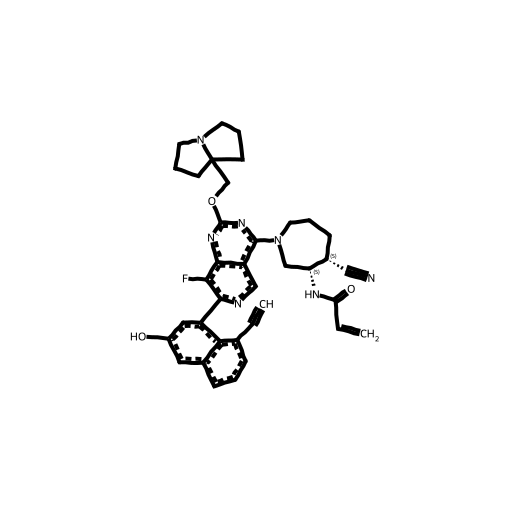 C#Cc1cccc2cc(O)cc(-c3ncc4c(N5CCC[C@H](C#N)[C@H](NC(=O)C=C)C5)nc(OCC56CCCN5CCC6)nc4c3F)c12